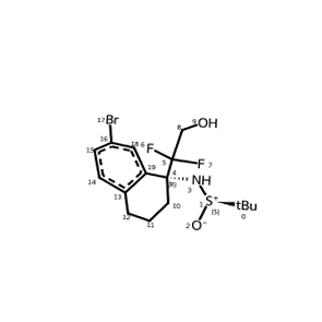 CC(C)(C)[S@@+]([O-])N[C@]1(C(F)(F)CO)CCCc2ccc(Br)cc21